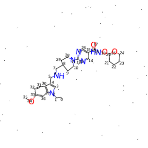 CCn1cc(CNCC2CCN(c3ncc(C(=O)NOC4CCCCO4)cn3)CC2)c2ccc(OC)cc21